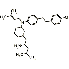 CC(C)=CCN(c1ccc(CCc2ccc(Cl)cc2)cc1)C1CCCN(CC(N)CC(C)C)C1